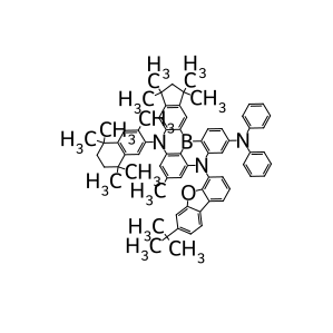 Cc1cc2c3c(c1)N(c1cccc4c1oc1cc(C(C)(C)C)ccc14)c1cc(N(c4ccccc4)c4ccccc4)ccc1B3c1cc3c(cc1N2c1cc2c(cc1C)C(C)(C)CCC2(C)C)C(C)(C)CC3(C)C